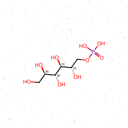 O=P(O)(O)OC[C@H](O)[C@H](O)[C@H](O)[C@H](O)CO